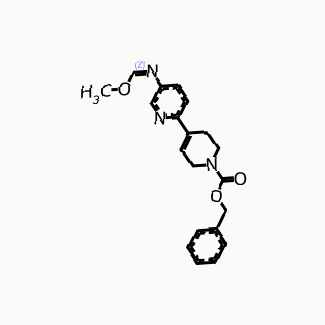 CO/C=N\c1ccc(C2=CCN(C(=O)OCc3ccccc3)CC2)nc1